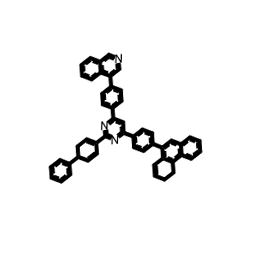 C1=Cc2c(-c3ccc(-c4cc(-c5ccc(-c6cncc7ccccc67)cc5)nc(C5=CCC(c6ccccc6)C=C5)n4)cc3)cc3ccccc3c2CC1